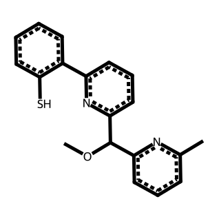 COC(c1cccc(C)n1)c1cccc(-c2ccccc2S)n1